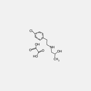 CC(O)CNCCc1ccc(Cl)cc1.O=C(O)C(=O)O